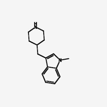 Cn1cc(CC2CCNCC2)c2ccccc21